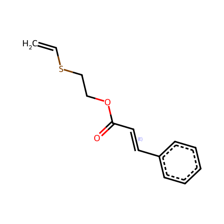 C=CSCCOC(=O)/C=C/c1ccccc1